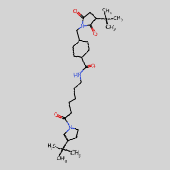 CC(C)(C)C1CCN(C(=O)CCCCCNC(=O)C2CCC(CN3C(=O)CC(C(C)(C)C)C3=O)CC2)C1